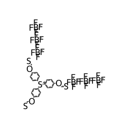 F[B-](F)(F)F.F[B-](F)(F)F.F[B-](F)(F)F.F[B-](F)(F)F.F[B-](F)(F)F.F[B-](F)(F)F.S=COc1ccc([S+](c2ccc(OC=S)cc2)c2ccc(OC=S)cc2)cc1